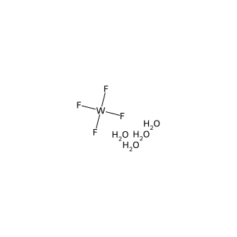 O.O.O.O.[F][W]([F])([F])[F]